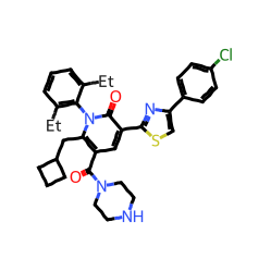 CCc1cccc(CC)c1-n1c(CC2CCC2)c(C(=O)N2CCNCC2)cc(-c2nc(-c3ccc(Cl)cc3)cs2)c1=O